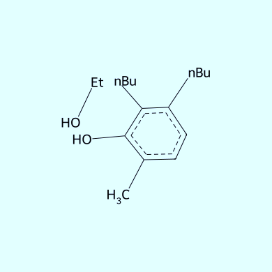 CCCCc1ccc(C)c(O)c1CCCC.CCO